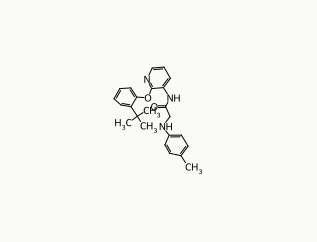 Cc1ccc(NCC(=O)Nc2cccnc2Oc2ccccc2C(C)(C)C)cc1